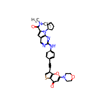 CN(C)C(=O)c1cc2cnc(Nc3ccc(C#Cc4csc5c(=O)cc(N6CCOCC6)oc45)cc3)nc2n1C1CCCC1